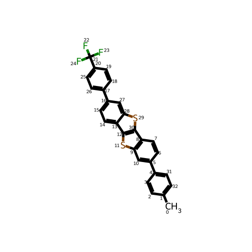 Cc1ccc(-c2ccc3c(c2)sc2c4ccc(-c5ccc(C(F)(F)F)cc5)cc4sc32)cc1